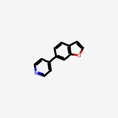 [c]1c(-c2ccncc2)ccc2ccoc12